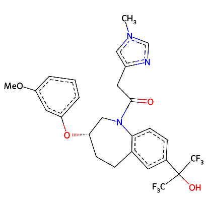 COc1cccc(O[C@H]2CCc3cc(C(O)(C(F)(F)F)C(F)(F)F)ccc3N(C(=O)Cc3cn(C)cn3)C2)c1